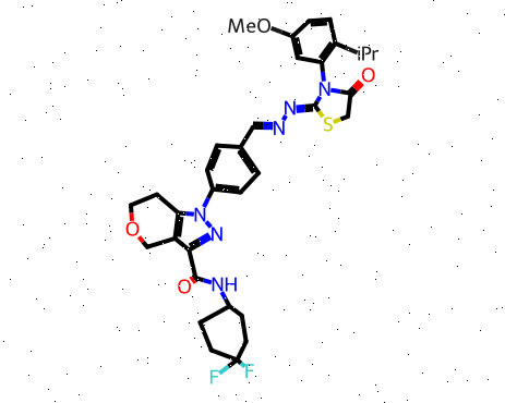 COc1ccc(C(C)C)c(N2C(=O)CSC2=NN=Cc2ccc(-n3nc(C(=O)NC4CCC(F)(F)CC4)c4c3CCOC4)cc2)c1